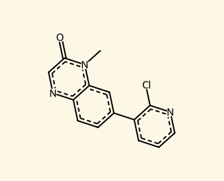 Cn1c(=O)cnc2ccc(-c3cccnc3Cl)cc21